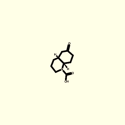 O=C1CC[C@H]2[C@H](CCCN2C(=O)O)C1